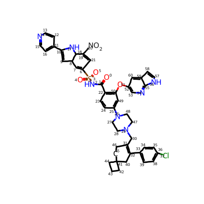 O=C(NS(=O)(=O)C1=CC2C=C(c3ccncc3)NC2C([N+](=O)[O-])=C1)c1ccc(N2CCN(CC3=C(c4ccc(Cl)cc4)CC4(CCC4)CC3)CC2)cc1Oc1cnc2[nH]ccc2c1